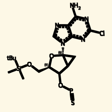 CC(C)(C)[Si](C)(C)OC[C@H]1O[C@@]2(n3cnc4c(N)nc(Cl)nc43)CC2C1OP=S